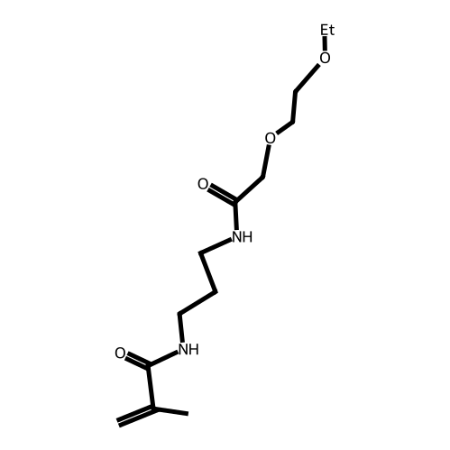 C=C(C)C(=O)NCCCNC(=O)COCCOCC